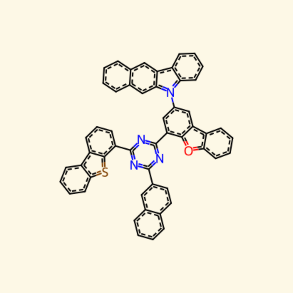 c1ccc2cc(-c3nc(-c4cc(-n5c6ccccc6c6cc7ccccc7cc65)cc5c4oc4ccccc45)nc(-c4cccc5c4sc4ccccc45)n3)ccc2c1